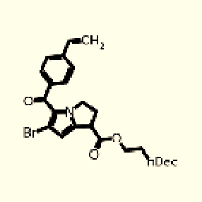 C=Cc1ccc(C(=O)c2c(Br)cc3n2CCC3C(=O)OCCCCCCCCCCCC)cc1